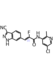 Cc1ncc(Cl)cc1NC(=O)/C(F)=C/c1ccc2c(C#N)n[nH]c2c1